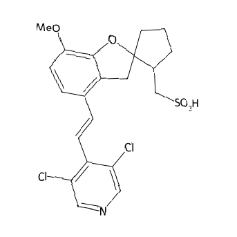 COc1ccc(C=Cc2c(Cl)cncc2Cl)c2c1OC1(CCCC1CS(=O)(=O)O)C2